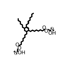 CCCCC/C=C/CC1=CC(CCCCCCCC(=O)OCC(O)N(C)C)C(CCCCCCCC(=O)OCC(O)N(C)C)CC1CCCCCC